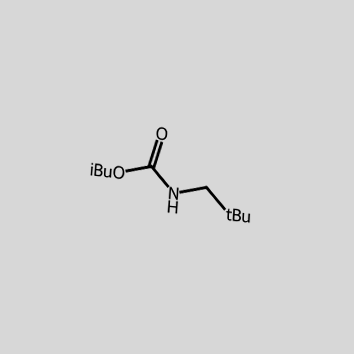 CC(C)COC(=O)NCC(C)(C)C